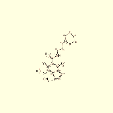 CC(C)n1c(=O)c(C(=O)NCCCN2CCCCC2)c([O-])c2ccsc21.[K+]